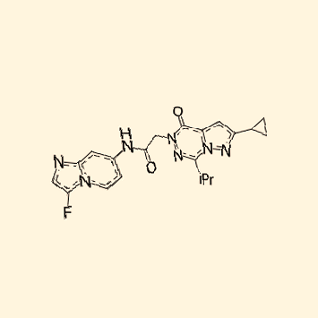 CC(C)c1nn(CC(=O)Nc2ccn3c(F)cnc3c2)c(=O)c2cc(C3CC3)nn12